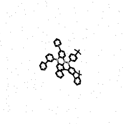 CC(C)(C)c1ccc(N2B3c4ccc(-c5ccccc5)cc4N(c4cccc(-c5ccccc5)c4)c4cc5ccccc5c(c43)-c3cc4c(cc32)C(C)(C)c2ccccc2-4)cc1